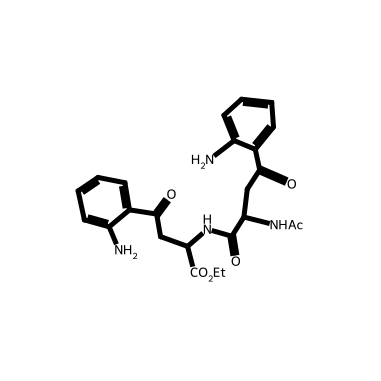 CCOC(=O)C(CC(=O)c1ccccc1N)NC(=O)C(CC(=O)c1ccccc1N)NC(C)=O